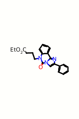 CCOC(=O)CCCn1c(=O)n2cc(-c3ccccc3)nc2c2ccccc21